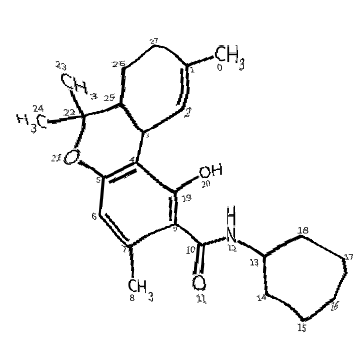 CC1=CC2c3c(cc(C)c(C(=O)NC4CCCCC4)c3O)OC(C)(C)C2CC1